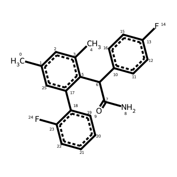 Cc1cc(C)c(C(C(N)=O)c2ccc(F)cc2)c(-c2ccccc2F)c1